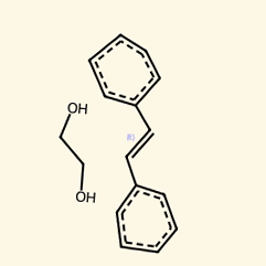 C(=C\c1ccccc1)/c1ccccc1.OCCO